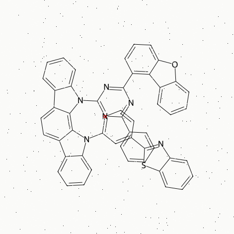 c1ccc(-c2nc(-c3cccc4oc5ccccc5c34)nc(-n3c4ccccc4c4ccc5c6ccccc6n(-c6cccc(-c7nc8ccccc8s7)c6)c5c43)n2)cc1